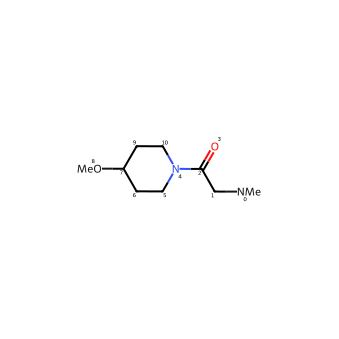 CNCC(=O)N1CCC(OC)CC1